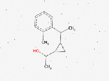 Cc1ccccc1C(C)C1CC1C(C)O